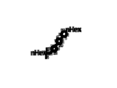 CCCCCCC1CCC(c2ccc(-c3ccc(CC(F)(F)CCCCCC)cc3)cc2)CC1